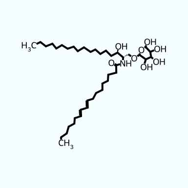 CCCCCC/C=C/C=C/CCCCCCCC(=O)N[C@@H](COC1OC(O)C(O)C(O)C1O)[C@H](O)CCCCCCCCCCCCCCC